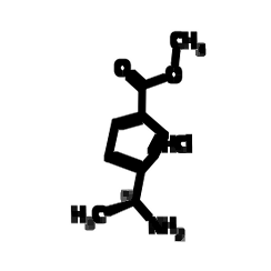 COC(=O)c1ccc([C@H](C)N)cc1.Cl